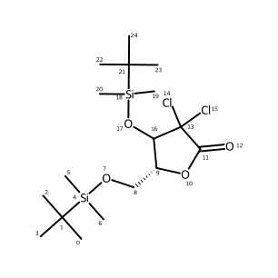 CC(C)(C)[Si](C)(C)OC[C@H]1OC(=O)C(Cl)(Cl)C1O[Si](C)(C)C(C)(C)C